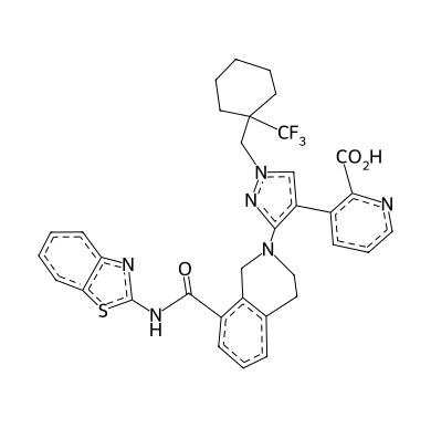 O=C(Nc1nc2ccccc2s1)c1cccc2c1CN(c1nn(CC3(C(F)(F)F)CCCCC3)cc1-c1cccnc1C(=O)O)CC2